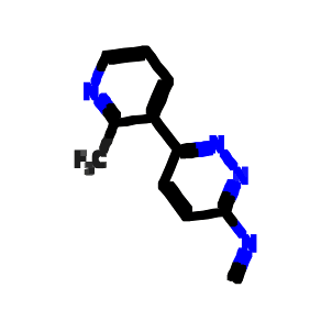 C=Nc1ccc(-c2cccnc2C(F)(F)F)nn1